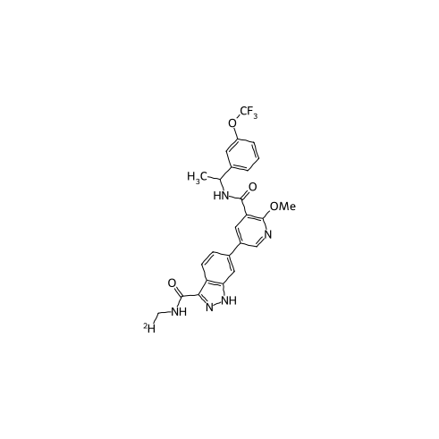 [2H]CNC(=O)c1n[nH]c2cc(-c3cnc(OC)c(C(=O)NC(C)c4cccc(OC(F)(F)F)c4)c3)ccc12